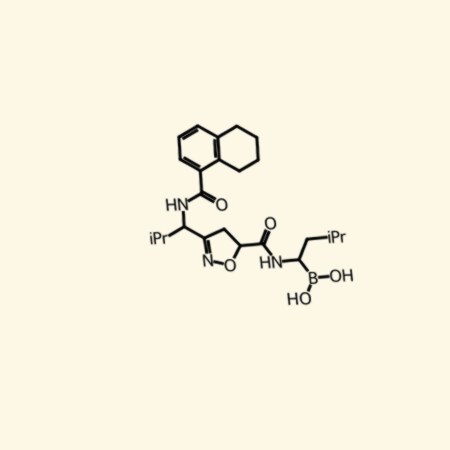 CC(C)CC(NC(=O)C1CC(C(NC(=O)c2cccc3c2CCCC3)C(C)C)=NO1)B(O)O